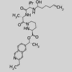 C=CCCCC(O)N[C@H](C(=O)N[C@@H](C)C(=O)N1CCC[C@@H](C(=O)O[C@H](C)c2ccc3cnc(C=C)cc3c2)N1)C(C)C